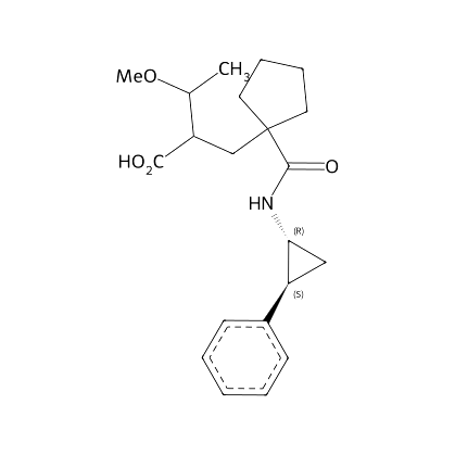 COC(C)C(CC1(C(=O)N[C@@H]2C[C@H]2c2ccccc2)CCCC1)C(=O)O